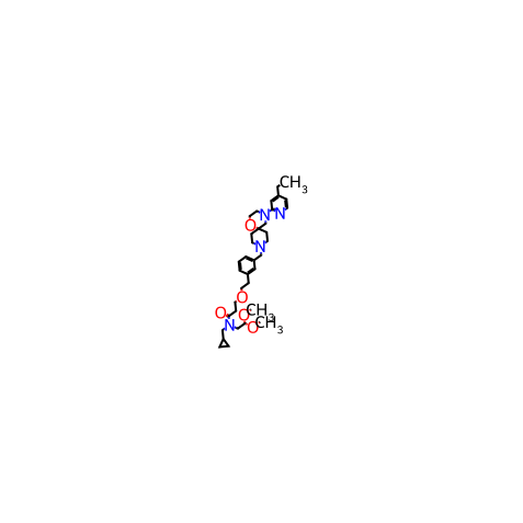 CCc1ccnc(N2CCOC3(CCN(Cc4cccc(CCOCCC(=O)N(CC5CC5)CC(OC)OC)c4)CC3)C2)c1